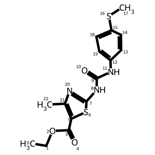 CCOC(=O)c1sc(NC(=O)Nc2ccc(SC)cc2)nc1C